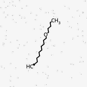 C#CCCCCCCCCCOCCCCC